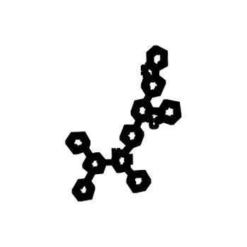 c1ccc(-c2cc(-c3ccccc3)cc(-c3cc(-c4ccccc4)nc(-c4ccc(-c5ccc(-c6ccc7c(c6)sc6ccccc67)c6c5oc5ccccc56)cc4)n3)c2)cc1